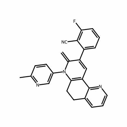 C=C1C(c2cccc(F)c2C#N)=CC2=C(CCc3cccnc32)N1c1ccc(C)nc1